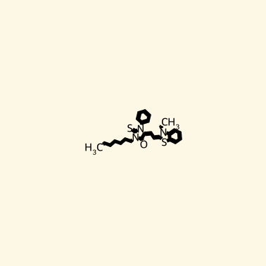 CCCCCCCN1C(=O)C(=CC=C2Sc3ccccc3N2CC)N(c2ccccc2)C1=S